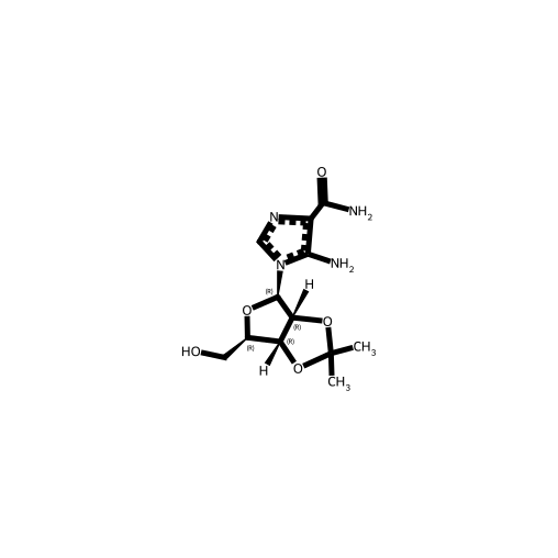 CC1(C)O[C@@H]2[C@H](O1)[C@@H](CO)O[C@H]2n1cnc(C(N)=O)c1N